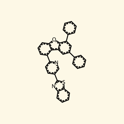 c1ccc(-c2cc(-c3ccccc3)c3oc4cccc(-c5ccc(-c6nc7ccccc7s6)cn5)c4c3c2)cc1